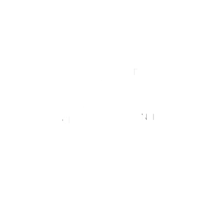 CC(C)CNc1cc(Cl)ccc1F